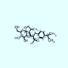 CC1CO[C@]2(SC(CO)[C@@H](O)[C@H](O)[C@H]2O)/C1=C/C(Cc1ccc(C(C)C)cc1)=C(/Cl)I